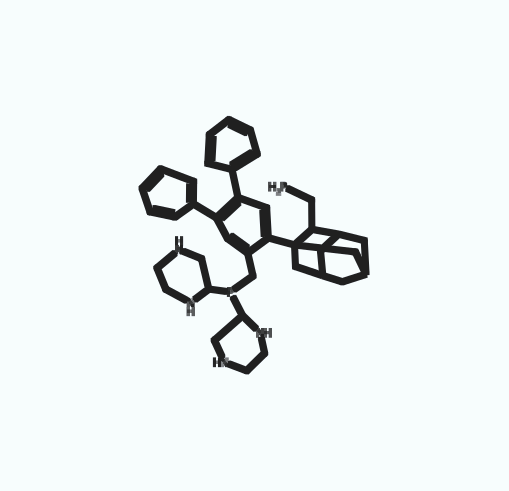 PCC1C2CC3CC(C2)CC1(c1cc(-c2ccccc2)c(-c2ccccc2)cc1CP(C1CNCCN1)C1CNCCN1)C3